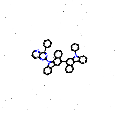 c1ccc(-c2nc(-n3c4ccccc4c4cc(-c5cc6c(c7ccccc57)c5ccccc5n6-c5ccccc5)c5ccccc5c43)nc3cccnc23)cc1